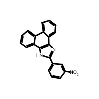 O=[N+]([O-])c1cccc(-c2nc3c4ccccc4c4ccccc4c3[nH]2)c1